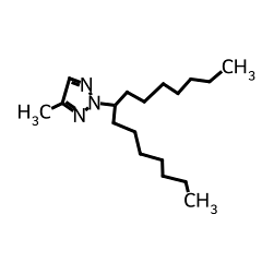 CCCCCCCC(CCCCCCC)n1ncc(C)n1